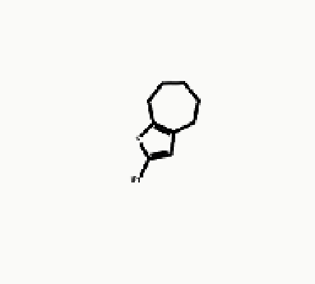 CC(C)c1cc2c(s1)CCCCC2